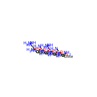 COc1ccc(NC(=O)[C@@H](CCCN)NC(=O)c2cc(NC(=O)[C@@H](CCCNC(=N)N)NC(=O)c3cc(NC(=O)[C@@H](CCCN)NC(=O)c4cc(NC(=O)[C@H](N)CCCNC(=N)N)ccc4OC)ccc3OC)ccc2OC)cc1C(N)=O